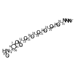 CC(=O)NCc1ccc(OC(=O)CCOCCOCCOCCOCCOCCOCCN=[N+]=[N-])cc1